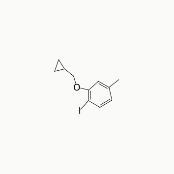 Cc1ccc(I)c(OCC2CC2)c1